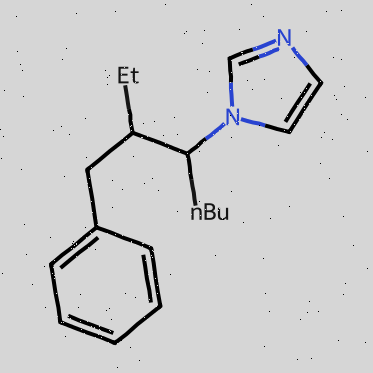 CCCCC(C(CC)Cc1ccccc1)n1ccnc1